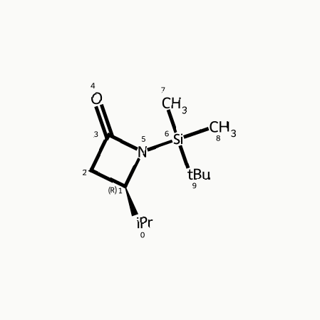 CC(C)[C@H]1CC(=O)N1[Si](C)(C)C(C)(C)C